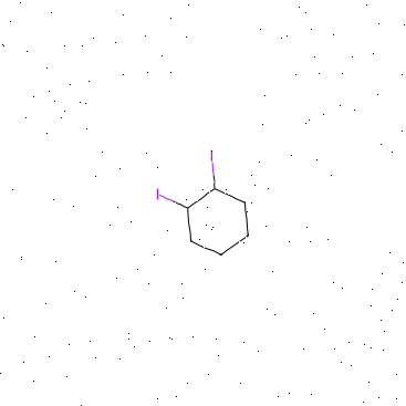 IC1CCCCC1I